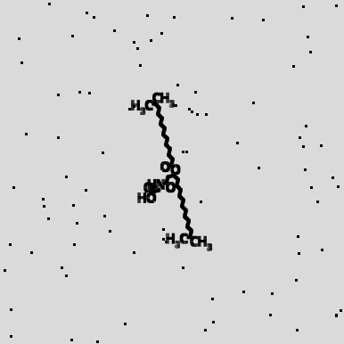 CC(C)CCCCCCCCCCCC(=O)OC(CCCCCCCCCCCC(C)C)CC(=O)NCC(=O)O